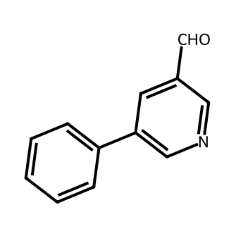 O=Cc1cncc(-c2ccccc2)c1